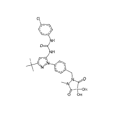 CN1C(=O)C(O)(O)C(=O)N1Cc1ccc(-n2nc(C(C)(C)C)cc2NC(=O)Nc2ccc(Cl)cc2)cc1